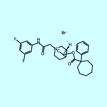 O=C(C[N+]12CCC(CC1)[C@@H](OC(=O)C1(c3ccccc3)CCCCCC1)C2)Nc1cc(F)cc(F)c1.[Br-]